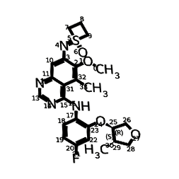 COc1c(N=S2(=O)CCC2)cc2ncnc(Nc3ccc(F)cc3O[C@H]3COC[C@@H]3C)c2c1C